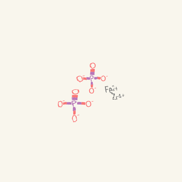 O=P([O-])([O-])[O-].O=P([O-])([O-])[O-].[Fe+2].[Zr+4]